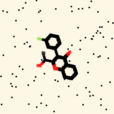 CCC(O)c1oc2ccccc2c(=O)c1-c1cccc(F)c1